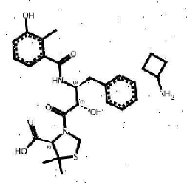 Cc1c(O)cccc1C(=O)N[C@@H](Cc1ccccc1)[C@H](O)C(=O)N1CSC(C)(C)[C@H]1C(=O)O.NC1CCC1